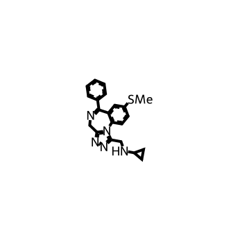 CSc1ccc2c(c1)C(c1ccccc1)=NCc1nnc(CNC3CC3)n1-2